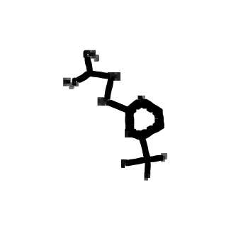 CC(C)NNc1nccc(C(F)(F)F)n1